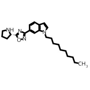 CCCCCCCCCCn1ccc2ccc(-c3noc([C@@H]4CCCN4)n3)cc21